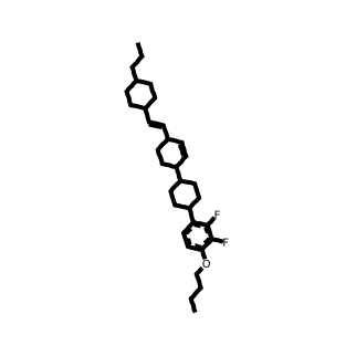 CCCCOc1ccc(C2CCC(C3C=CC(/C=C/C4CCC(CCC)CC4)CC3)CC2)c(F)c1F